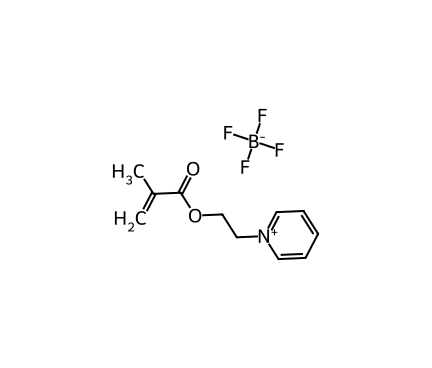 C=C(C)C(=O)OCC[n+]1ccccc1.F[B-](F)(F)F